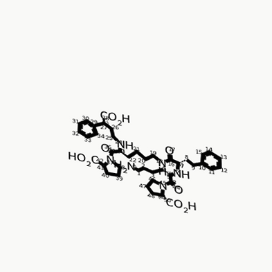 NCCCC[C@H](N[C@@H](CCc1ccccc1)C(=O)NCCCC[C@H](NCC[C@H](C(=O)O)c1ccccc1)C(=O)N1CCCC1C(=O)O)C(=O)N1CCC[C@H]1C(=O)O